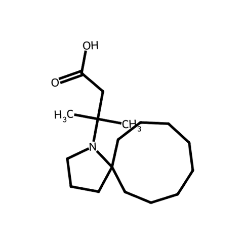 CC(C)(CC(=O)O)N1CCCC12CCCCCCCC2